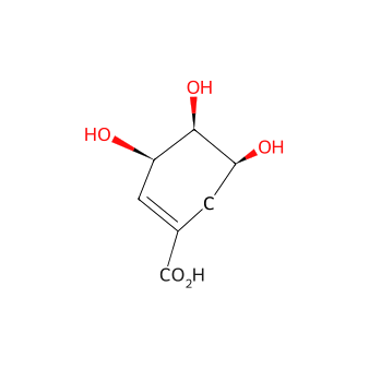 O=C(O)C1=C[C@@H](O)[C@@H](O)[C@@H](O)C1